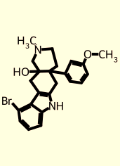 COc1cccc(C23CCN(C)CC2(O)Cc2c([nH]c4cccc(Br)c24)C3)c1